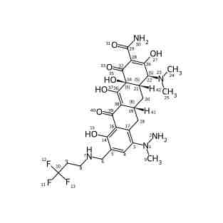 CN(N)c1cc(CNCCC(F)(F)F)c(O)c2c1C[C@H]1C[C@H]3[C@H](N(C)C)C(O)=C(C(N)=O)C(=O)[C@@]3(O)C(O)=C1C2=O